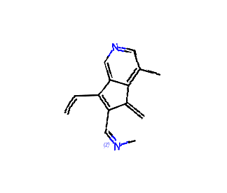 C=CC1=C(/C=N\C)C(=C)c2c(C)cncc21